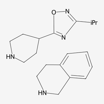 CC(C)c1noc(C2CCNCC2)n1.c1ccc2c(c1)CCNC2